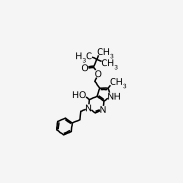 Cc1[nH]c2c(c1COC(=O)C(C)(C)C)C(O)N(CCc1ccccc1)C=N2